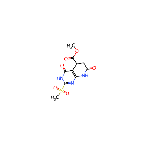 COC(=O)C1CC(=O)Nc2nc(S(C)(=O)=O)[nH]c(=O)c21